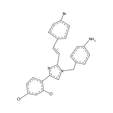 Nc1ccc(Cn2cc(-c3ccc(Cl)cc3Cl)nc2/C=C/c2ccc(Br)cc2)cc1